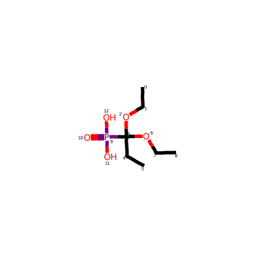 CCOC(CC)(OCC)P(=O)(O)O